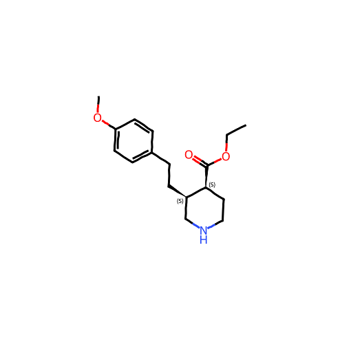 CCOC(=O)[C@H]1CCNC[C@H]1CCc1ccc(OC)cc1